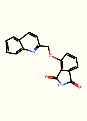 O=C1NC(=O)c2c(OCc3ccc4ccccc4n3)cccc21